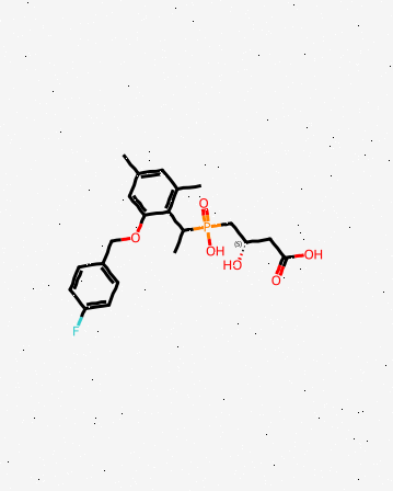 Cc1cc(C)c(C(C)P(=O)(O)C[C@@H](O)CC(=O)O)c(OCc2ccc(F)cc2)c1